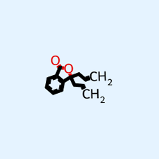 C=CCC1(CC=C)OC(=O)c2ccccc21